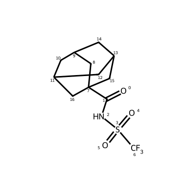 O=C(NS(=O)(=O)C(F)(F)F)C12CC3CC(CC(C3)C1)C2